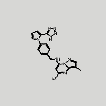 CCc1cc(NCc2ccc(-n3cccc3-c3nnn[nH]3)cc2)n2ncc(C)c2n1